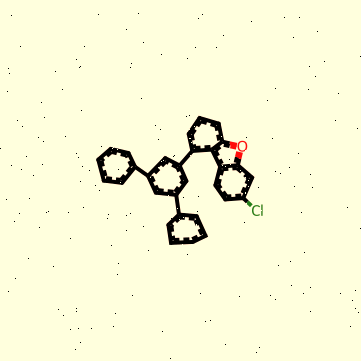 Clc1ccc2c(c1)oc1cccc(-c3cc(-c4ccccc4)cc(-c4ccccc4)c3)c12